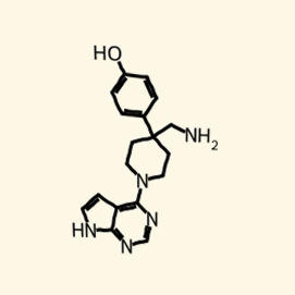 NCC1(c2ccc(O)cc2)CCN(c2ncnc3[nH]ccc23)CC1